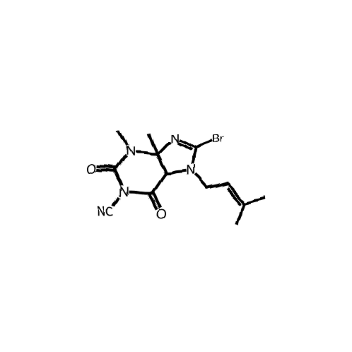 CC(C)=CCN1C(Br)=NC2(C)C1C(=O)N(C#N)C(=O)N2C